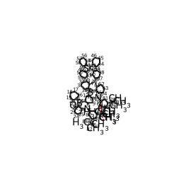 CC(C)(C)c1cc(N2c3cc4c(cc3B3c5ccccc5Oc5cccc2c53)B2c3ccccc3C(c3cccc([Si](c5ccccc5)(c5ccccc5)c5ccccc5)c3)c3cccc(c32)N4c2cc(C(C)(C)C)cc(C(C)(C)C)c2)cc(C(C)(C)C)c1